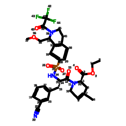 CCOC(=O)[C@H]1CC(C)=CCN1C(=O)[C@H](Cc1cccc(C#N)c1)NS(=O)(=O)c1ccc2c(c1)C(COC)N(C(=O)C(F)(F)F)CC2